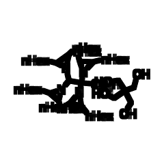 CCCCCCC1C(CCCCCC)N1C(N1C(CCCCCC)C1CCCCCC)C(C(=O)O)(N1C(CCCCCC)C1CCCCCC)N1C(CCCCCC)C1CCCCCC.OCC(CO)(CO)CO